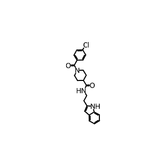 O=C(NCCc1cc2ccccc2[nH]1)C1CCN(C(=O)c2ccc(Cl)cc2)CC1